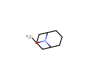 FC(F)(F)CN1C2C[CH]CC1CCC2